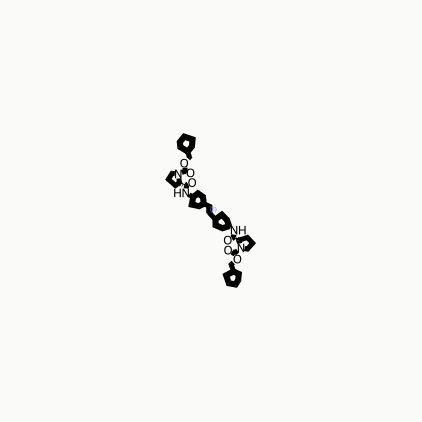 O=C(Nc1ccc(/C=C/c2ccc(NC(=O)[C@@H]3CCCN3C(=O)OCc3ccccc3)cc2)cc1)[C@@H]1CCCN1C(=O)OCc1ccccc1